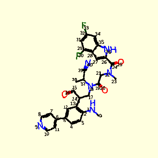 CNc1ccc(-c2ccncc2)cc1C(C=O)CN(C(=O)CN(C)C(=O)c1cc2c(F)cc(F)cc2[nH]1)C(C)C#N